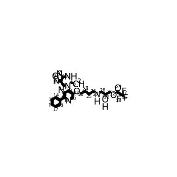 CCn1c(-c2nonc2N)nc2c(-c3ccccc3)ncc(OCCCCNCC(O)COC(=O)C(F)(F)F)c21